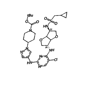 CC(C)(C)OC(=O)N1CCC(n2cc(Nc3ncc(Cl)c(N[C@@H]4COC5C4OC[C@@H]5NS(=O)(=O)CC4CC4)n3)cn2)CC1